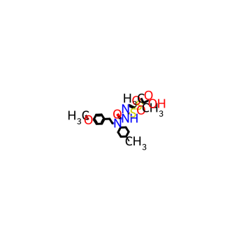 COc1ccc(CCN(C(=O)Nc2ncc(S(=O)(=O)C(C)(C)C(=O)O)s2)[C@H]2CC[C@H](C)CC2)cc1